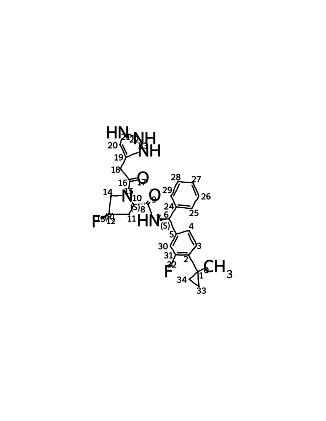 CC1(c2ccc([C@@H](NC(=O)[C@@H]3C[C@@H](F)CN3C(=O)CC3=CNNN3)c3ccccc3)cc2F)CC1